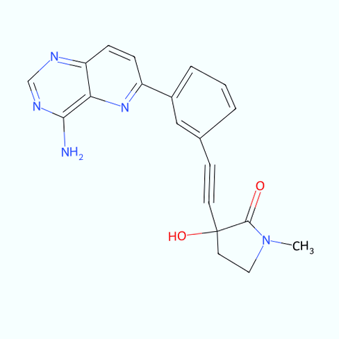 CN1CCC(O)(C#Cc2cccc(-c3ccc4ncnc(N)c4n3)c2)C1=O